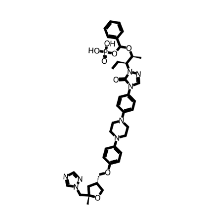 CC[C@@H]([C@H](C)OC(OP(=O)(O)O)c1ccccc1)n1ncn(-c2ccc(N3CCN(c4ccc(OC[C@@H]5CO[C@](C)(Cn6cncn6)C5)cc4)CC3)cc2)c1=O